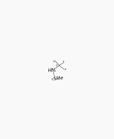 CSNC(C)(C)C